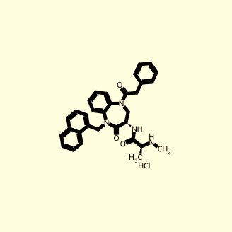 CN[C@@H](C)C(=O)N[C@H]1CN(C(=O)Cc2ccccc2)c2ccccc2N(Cc2cccc3ccccc23)C1=O.Cl